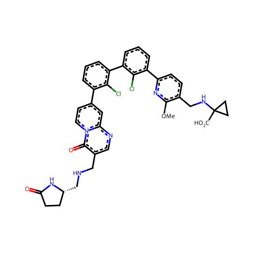 COc1nc(-c2cccc(-c3cccc(-c4ccn5c(=O)c(CNC[C@@H]6CCC(=O)N6)cnc5c4)c3Cl)c2Cl)ccc1CNC1(C(=O)O)CC1